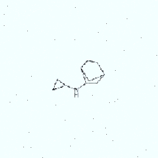 C1CC2CC1CC2NC1CC1